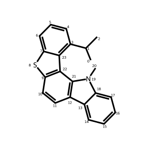 CC(C)c1cccc2sc3ccc4c5ccccc5n(C)c4c3c12